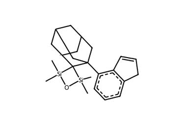 C[Si]1(C)O[Si](C)(C)C12[C]1CC3CC(C1)CC2(c1cccc2c1C=CC2)C3